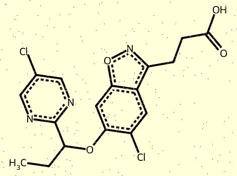 CCC(Oc1cc2onc(CCC(=O)O)c2cc1Cl)c1ncc(Cl)cn1